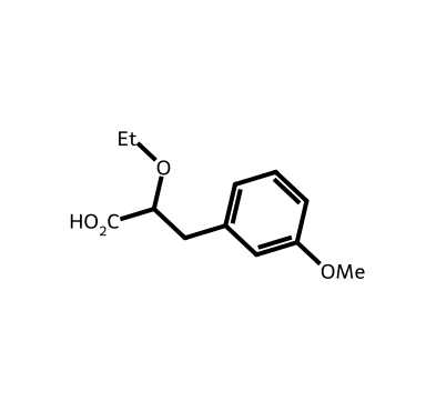 CCOC(Cc1cccc(OC)c1)C(=O)O